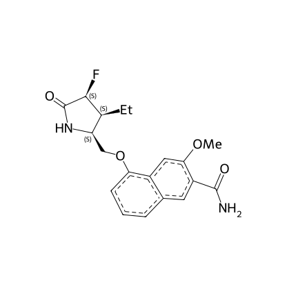 CC[C@@H]1[C@H](F)C(=O)N[C@@H]1COc1cccc2cc(C(N)=O)c(OC)cc12